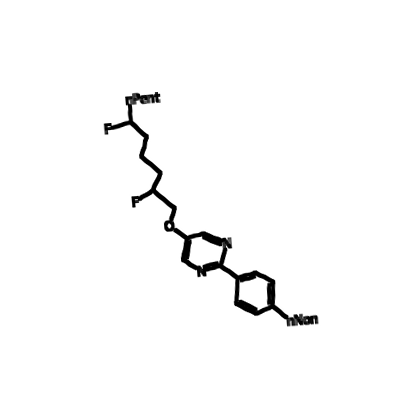 CCCCCCCCCc1ccc(-c2ncc(OCC(F)CCCC(F)CCCCC)cn2)cc1